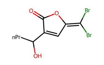 CCCC(O)C1=CC(=C(Br)Br)OC1=O